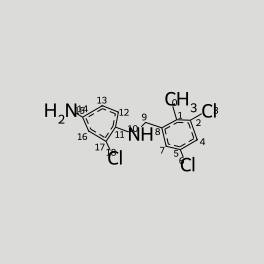 Cc1c(Cl)cc(Cl)cc1CNc1ccc(N)cc1Cl